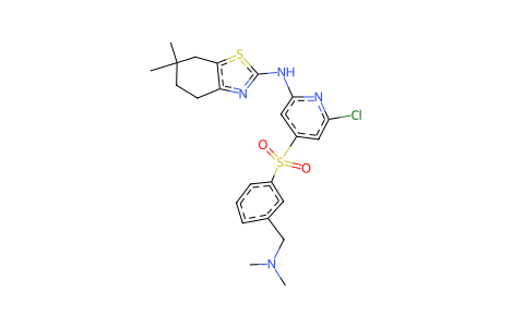 CN(C)Cc1cccc(S(=O)(=O)c2cc(Cl)nc(Nc3nc4c(s3)CC(C)(C)CC4)c2)c1